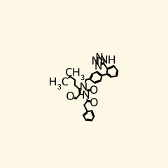 CC(C)CCc1c(C=O)n(C(=O)Cc2ccccc2)c(=O)n1Cc1ccc(-c2ccccc2-c2nnn[nH]2)cc1